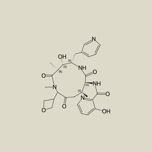 C[C@H]1CC(=O)C(C2COC2)N(C)C(=O)[C@H](C)[C@H](O)[C@H](Cc2cccnc2)NC(=O)[C@H]1NC(=O)c1ncccc1O